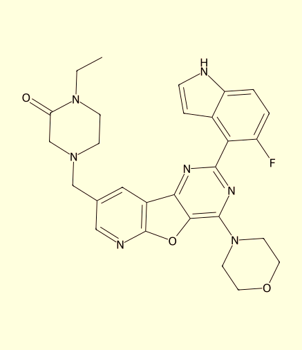 CCN1CCN(Cc2cnc3oc4c(N5CCOCC5)nc(-c5c(F)ccc6[nH]ccc56)nc4c3c2)CC1=O